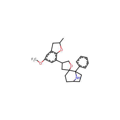 CC1Cc2cc(OC(F)(F)F)cc(C3COC4(CCC5CCC4(c4ccccc4)N5)C3)c2O1